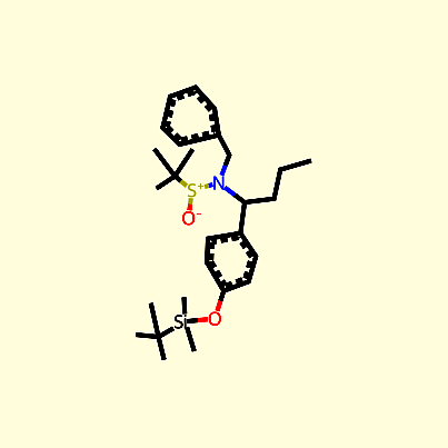 CCCC(c1ccc(O[Si](C)(C)C(C)(C)C)cc1)N(Cc1ccccc1)[S+]([O-])C(C)(C)C